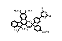 COc1ccc(C2(c3ccc(-c4nc(F)nc(F)n4)cc3)C=Cc3c4c(c5cc(OC)c(OC)cc5c3O2)-c2ccccc2C4(C)C)cc1